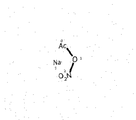 CC(=O)O[N+](=O)[O-].[Na]